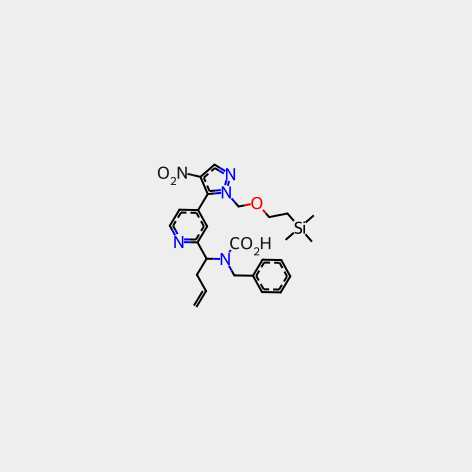 C=CCC(c1cc(-c2c([N+](=O)[O-])cnn2COCC[Si](C)(C)C)ccn1)N(Cc1ccccc1)C(=O)O